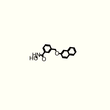 O=C(NO)c1cccc(COc2ccc3ccccc3c2)c1